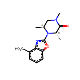 C[C@H]1CN(C)C(=O)[C@H](C)N1c1nc2c(C(=O)O)cccc2o1